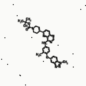 Cc1cc(Nc2ncnc3ccc(C4=CCN(C(=O)OC(C)(C)C)CC4)nc23)ccc1Oc1ccc2c(c1)nnn2C